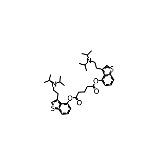 CC(C)N(CCc1csc2cccc(OC(=O)CCCC(=O)Oc3cccc4scc(CCN(C(C)C)C(C)C)c34)c12)C(C)C